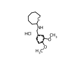 COc1ccc(CNC2CCCCCCC2)cc1OC.Cl